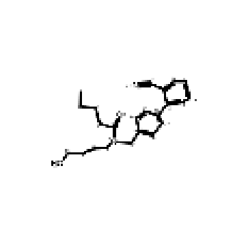 CCCCC(=O)N(CCCCO)Cc1ccc(-c2ccccc2C#N)cc1